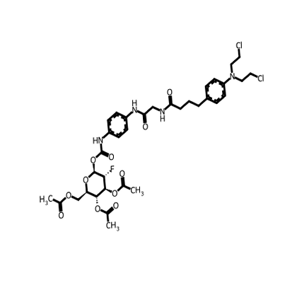 CC(=O)OC[C@H]1O[C@@H](OC(=O)Nc2ccc(NC(=O)CNC(=O)CCCc3ccc(N(CCCl)CCCl)cc3)cc2)[C@H](F)[C@@H](OC(C)=O)[C@@H]1OC(C)=O